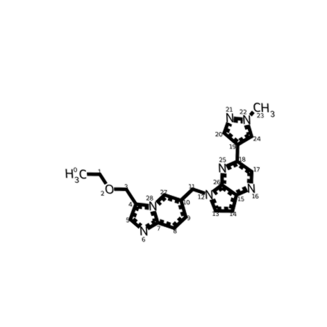 CCOCc1cnc2ccc(Cn3ccc4ncc(-c5cnn(C)c5)nc43)cn12